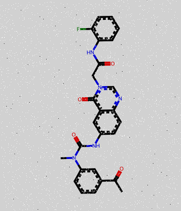 CC(=O)c1cccc(N(C)C(=O)Nc2ccc3ncn(CC(=O)Nc4ccccc4F)c(=O)c3c2)c1